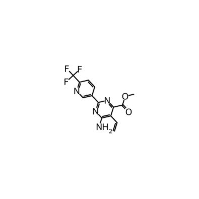 C=Cc1c(N)nc(-c2ccc(C(F)(F)F)nc2)nc1C(=O)OC